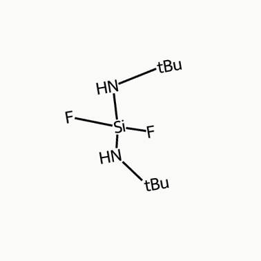 CC(C)(C)N[Si](F)(F)NC(C)(C)C